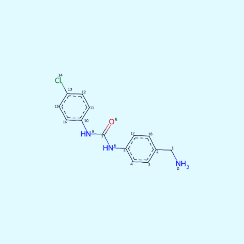 NCc1ccc(NC(=O)Nc2ccc(Cl)cc2)cc1